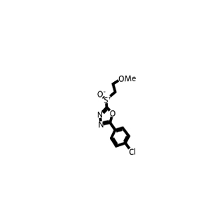 COCC[S+]([O-])c1nnc(-c2ccc(Cl)cc2)o1